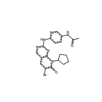 CC(=O)Nc1ccc(Nc2ncc3cc(Br)c(=O)n(C4CCCC4)c3n2)nc1